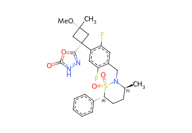 CO[C@]1(C)C[C@@](c2n[nH]c(=O)o2)(c2cc(F)c(CN3[C@@H](C)CC[C@H](c4ccccc4)S3(=O)=O)cc2F)C1